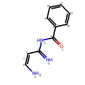 N=C(/C=C\N)NC(=O)c1ccccc1